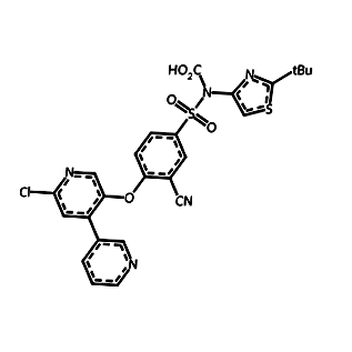 CC(C)(C)c1nc(N(C(=O)O)S(=O)(=O)c2ccc(Oc3cnc(Cl)cc3-c3cccnc3)c(C#N)c2)cs1